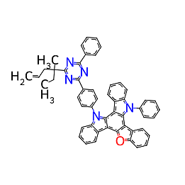 C=CCC(C)(CC)c1nc(-c2ccccc2)nc(-c2ccc(-n3c4ccccc4c4c5oc6ccccc6c5c5c(c6ccccc6n5-c5ccccc5)c43)cc2)n1